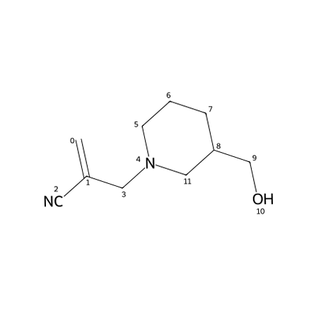 C=C(C#N)CN1CCCC(CO)C1